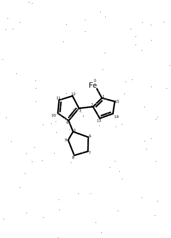 [Fe][C]1=C(C2=C(C3CCCC3)C=CC2)C=CC1